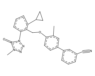 Cc1cc(-c2cccc(C#N)c2)ccc1OCc1c(C2CC2)cccc1-n1nnn(C)c1=O